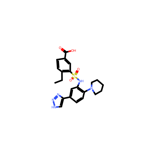 CCc1ccc(C(=O)O)cc1S(=O)(=O)Nc1cc(-c2c[nH]nn2)ccc1N1CCCCC1